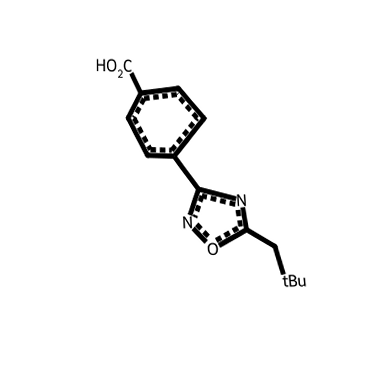 CC(C)(C)Cc1nc(-c2ccc(C(=O)O)cc2)no1